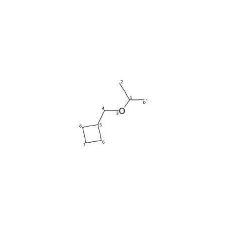 [CH2]C(C)OCC1CCC1